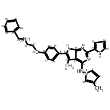 Cc1ccn(Nc2nc(-c3cccs3)nc3sc(-c4ccc(OCCNCc5ccccc5)cc4)c(C)c23)c1